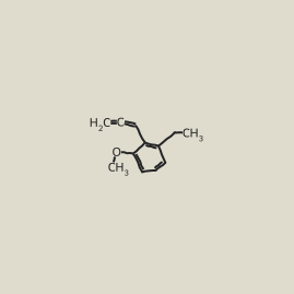 C=C=Cc1c(CC)cccc1OC